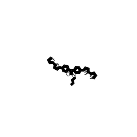 CCCCn1c2cc(-c3ccc(-c4cccs4)s3)ccc2c2c3ccc(-c4ccc(-c5cccs5)s4)cc3oc21